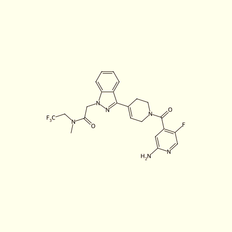 CN(CC(F)(F)F)C(=O)Cn1nc(C2=CCN(C(=O)c3cc(N)ncc3F)CC2)c2ccccc21